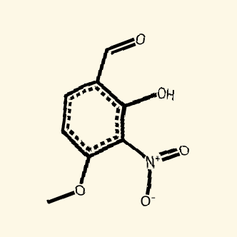 COc1ccc(C=O)c(O)c1[N+](=O)[O-]